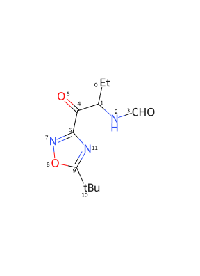 CCC(NC=O)C(=O)c1noc(C(C)(C)C)n1